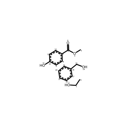 CCO.COC(=O)c1ccc(O)cc1.OCc1ccccc1